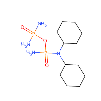 NP(N)(=O)OP(N)(=O)N(C1CCCCC1)C1CCCCC1